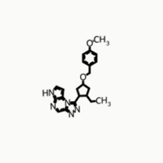 CCC1CC(OCc2ccc(OC)cc2)CC1c1nnc2cnc3[nH]ccc3n12